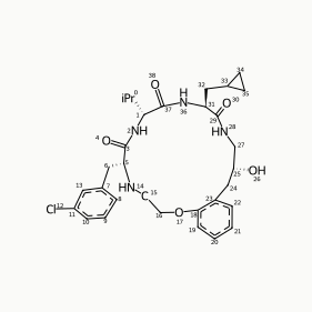 CC(C)[C@H]1NC(=O)[C@@H](Cc2cccc(Cl)c2)NCCOc2ccccc2C[C@@H](O)CNC(=O)[C@H](CC2CC2)NC1=O